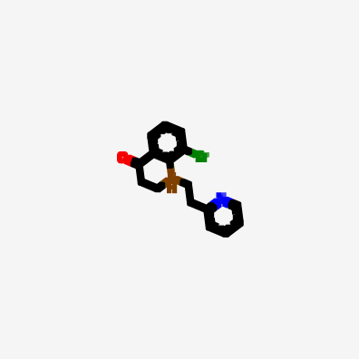 O=C1CC[SH](CCc2ccccn2)c2c(Br)cccc21